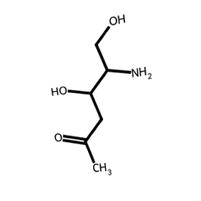 CC(=O)CC(O)C(N)CO